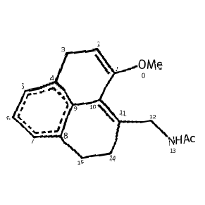 COC1=CCc2cccc3c2C1=C(CNC(C)=O)CC3